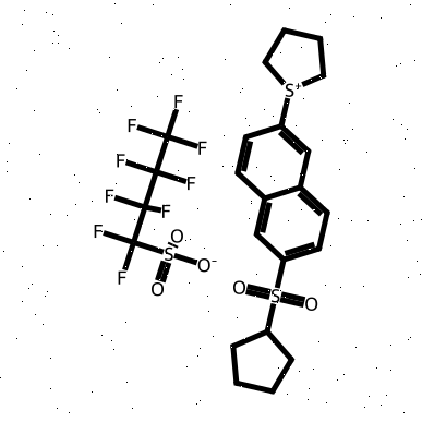 O=S(=O)([O-])C(F)(F)C(F)(F)C(F)(F)C(F)(F)F.O=S(=O)(c1ccc2cc([S+]3CCCC3)ccc2c1)C1CCCC1